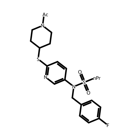 CCCS(=O)(=O)N(Cc1ccc(F)cc1)c1ccc(SC2CCN(C(C)=O)CC2)nc1